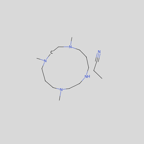 CCC#N.CN1CCCN(C)CCN(C)CCCNCC1